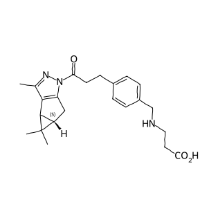 Cc1nn(C(=O)CCc2ccc(CNCCC(=O)O)cc2)c2c1C1[C@H](C2)C1(C)C